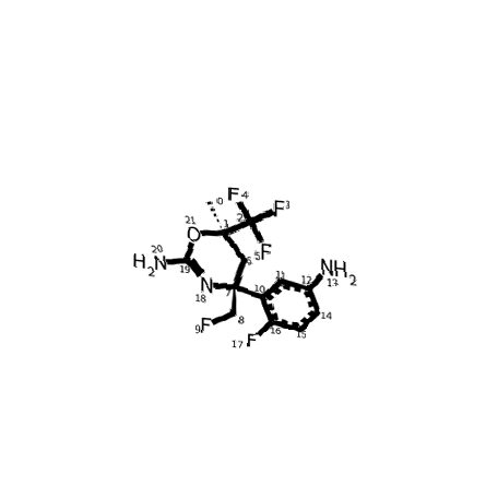 C[C@]1(C(F)(F)F)C[C@](CF)(c2cc(N)ccc2F)N=C(N)O1